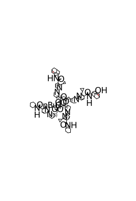 CCCCc1nc(N2CCC[C@@H](CC(=O)OC(=O)C(OC(=O)C(OC(=O)C[C@@H]3CCCN(c4ccc(C(=O)NC5C6CC7CC5CC(O)(C7)C6)c(C5CC5)n4)C3)[C@H]3CCCN(c4ccc(C(=O)NC5C6CC7CC(C6)CC5C7)c(C5CC5)n4)C3)[C@H]3CCCN(c4ccc(C(=O)NC5CCCCC5)c(C5CC5)n4)C3)C2)ccc1C(=O)NC1CCCCC1